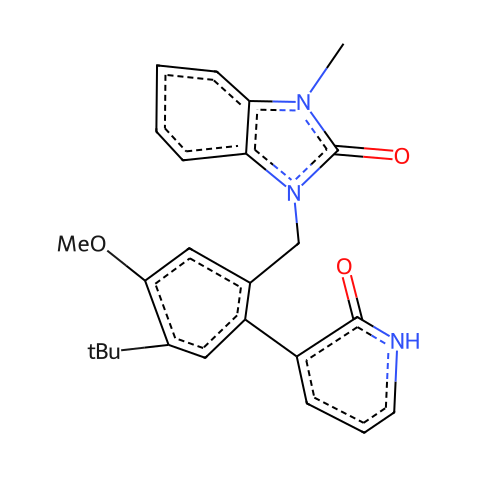 COc1cc(Cn2c(=O)n(C)c3ccccc32)c(-c2ccc[nH]c2=O)cc1C(C)(C)C